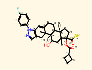 CC12Cc3cnn(-c4ccc(F)cc4)c3C=C1CCC1[C@@H]2C(O)CC2(C)[C@H]1CCC2(OC(=O)C1CCC1)C(=O)S